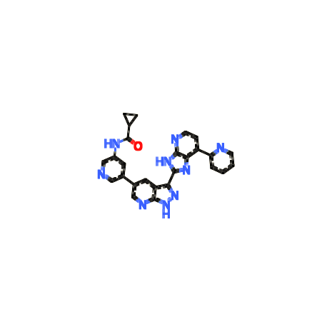 O=C(Nc1cncc(-c2cnc3[nH]nc(-c4nc5c(-c6ccccn6)ccnc5[nH]4)c3c2)c1)C1CC1